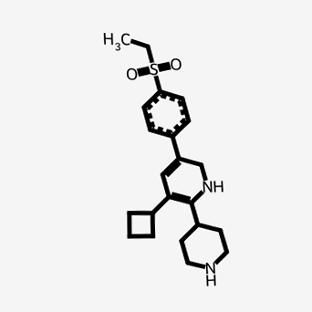 CCS(=O)(=O)c1ccc(C2=CC(C3CCC3)=C(C3CCNCC3)NC2)cc1